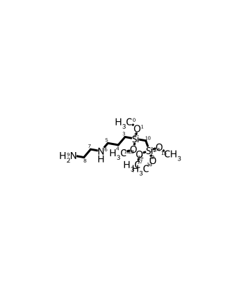 CO[Si](CCCNCCN)(C[Si](OC)(OC)OC)OC